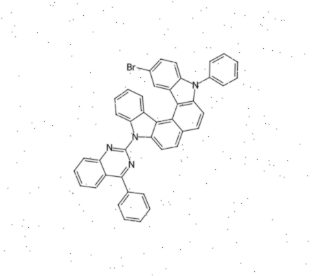 Brc1ccc2c(c1)c1c3c(ccc1n2-c1ccccc1)ccc1c3c2ccccc2n1-c1nc(-c2ccccc2)c2ccccc2n1